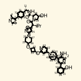 Cc1ncsc1-c1ccc([C@H](C)NC(=O)[C@@H]2C[C@@H](O)CN2C(=O)[C@H](c2cc(N3CCC(O[C@H]4C[C@H](Oc5cc(N6CC7CCCC6CN7c6cc(-c7ccccc7O)nnc6N)ccn5)C4)CC3)no2)C(C)C)cc1